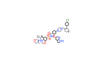 CC1(C)CCC(CN2CCN(c3ccc(C(=O)NS(=O)(=O)c4cc5c(c([N+](=O)[O-])c4)N[C@@H](CC4CCOCC4)CO5)c(Oc4cnc5[nH]ccc5c4)c3)CC2)=C(c2ccc(Cl)cc2)C1